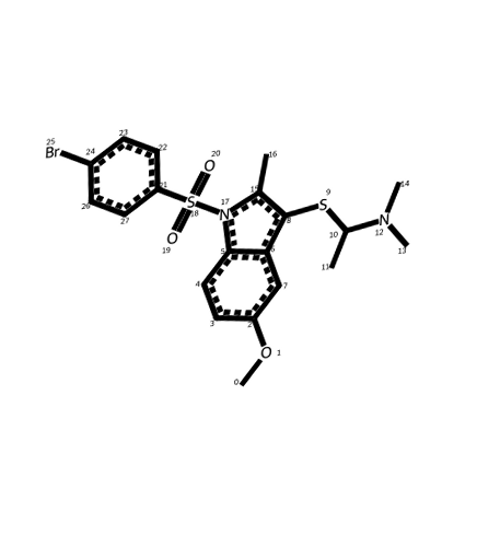 COc1ccc2c(c1)c(SC(C)N(C)C)c(C)n2S(=O)(=O)c1ccc(Br)cc1